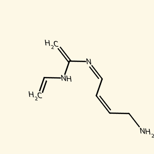 C=CNC(=C)/N=C\C=C/CN